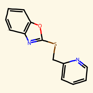 [c]1cccc2oc(SCc3ccccn3)nc12